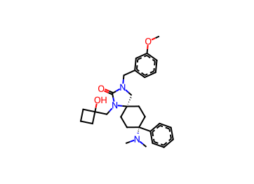 COc1cccc(CN2C[C@]3(CC[C@@](c4ccccc4)(N(C)C)CC3)N(CC3(O)CCC3)C2=O)c1